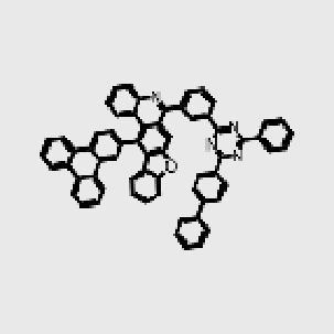 c1ccc(-c2ccc(-c3nc(-c4ccccc4)nc(-c4cccc(-c5nc6ccccc6c6c(-c7ccc8c9ccccc9c9ccccc9c8c7)c7c(cc56)oc5ccccc57)c4)n3)cc2)cc1